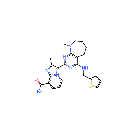 Cc1nc2c(C(N)=O)cccn2c1-c1nc(NCc2cccs2)c2c(n1)N(C)CCCC2